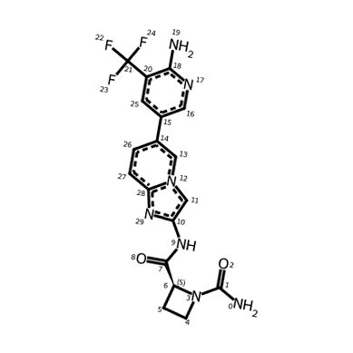 NC(=O)N1CC[C@H]1C(=O)Nc1cn2cc(-c3cnc(N)c(C(F)(F)F)c3)ccc2n1